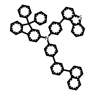 c1ccc(C2(c3ccccc3)c3ccccc3-c3ccc(N(c4ccc(-c5cccc(-c6cccc7ccccc67)c5)cc4)c4ccc(-c5cccc6sc7ccccc7c56)cc4)cc32)cc1